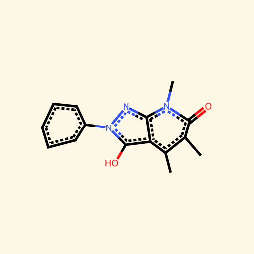 Cc1c(C)c2c(O)n(-c3ccccc3)nc2n(C)c1=O